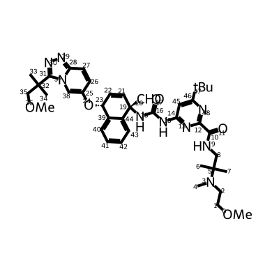 COCCN(C)C(C)(C)CNC(=O)c1nc(NC(=O)N[C@@]2(C=O)C=C[C@@H](Oc3ccc4nnc(C(C)(C)COC)n4c3)c3ccccc32)cc(C(C)(C)C)n1